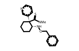 CNC(=S)[C@]1(c2cccnc2)CCCC[C@H]1NOCc1ccccc1